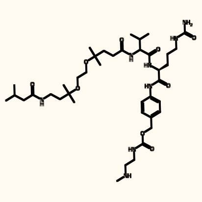 CNCCNC(=O)OCc1ccc(NC(=O)[C@H](CCCNC(N)=O)NC(=O)C(NC(=O)CCC(C)(C)OCCOC(C)(C)CCNC(=O)CC(C)C)C(C)C)cc1